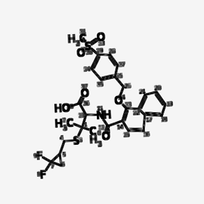 CC(C)(SCC1CC1(F)F)C(NC(=O)c1ccc2ccccc2c1OCc1ccc(S(C)(=O)=O)cc1)C(=O)O